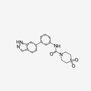 O=C(Nc1cccc(-c2ccc3cn[nH]c3c2)c1)N1CCS(=O)(=O)CC1